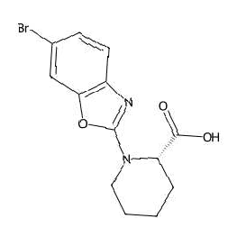 O=C(O)[C@@H]1CCCCN1c1nc2ccc(Br)cc2o1